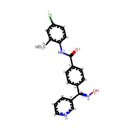 O=C(Nc1ccc(Cl)cc1C(=O)O)c1ccc(/C(=N\O)c2cccnc2)cc1